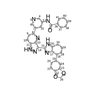 O=C(Nc1cncc(-c2ccc3[nH]nc(-c4nc5c(-c6ccc7c(c6)OCO7)cccc5[nH]4)c3n2)c1)c1ccccc1